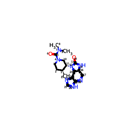 C[C@@H]1CCN(C(=O)N(C)C)C[C@@H]1n1c(=O)[nH]c2cnc3[nH]cnc3c21